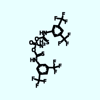 NP(=O)(OC(=S)Nc1cc(C(F)(F)F)cc(C(F)(F)F)c1)OC(=S)Nc1cc(C(F)(F)F)cc(C(F)(F)F)c1